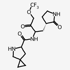 O=C(COC(F)(F)F)C(C[C@@H]1CCNC1=O)NC(=O)C1CC2(CC2)CN1